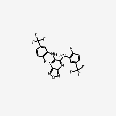 Fc1ccc(C(F)(F)F)cc1Nc1nc2nonc2nc1Nc1cc(C(F)(F)F)ccc1F